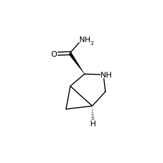 NC(=O)[C@H]1NC[C@H]2CC21